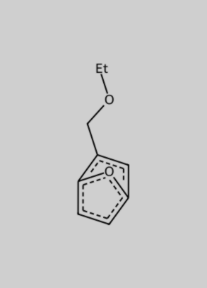 CCOCc1cc2ccc1o2